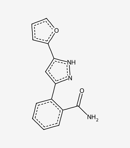 NC(=O)c1ccccc1-c1cc(-c2ccco2)[nH]n1